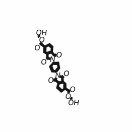 O=C(OCO)c1ccc2c(c1)C(=O)N(c1ccc(N3C(=O)c4ccc(C(=O)OCO)cc4C3=O)cc1)C2=O